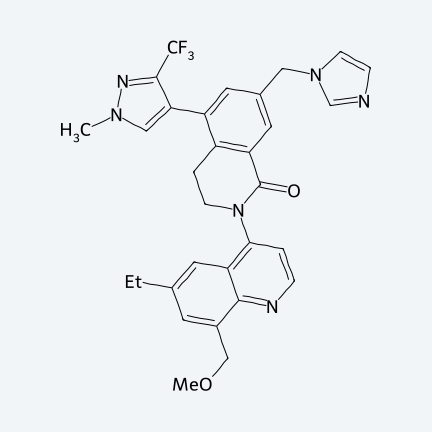 CCc1cc(COC)c2nccc(N3CCc4c(cc(Cn5ccnc5)cc4-c4cn(C)nc4C(F)(F)F)C3=O)c2c1